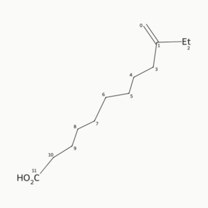 C=C(CC)CCCCCCCCC(=O)O